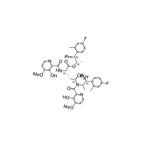 COc1ccnc(C(=O)N(C(C)[C@H](c2ccc(F)cc2C)C(C)C)[C@@H](C)C(=O)O)c1O.COc1ccnc(C(=O)N[C@@H](C)C(=O)O[C@@H](C)[C@H](c2ccc(F)cc2C)C(C)C)c1O